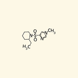 CCC1CCCCN1S(=O)(=O)c1cn(C)cn1